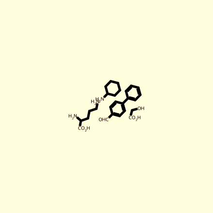 NC1CCCCC1.NCCCC(N)C(=O)O.O=C(O)CO.O=Cc1ccc(-c2ccccc2)cc1